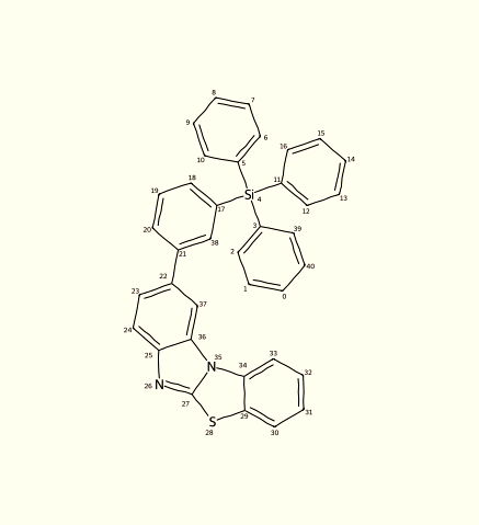 c1ccc([Si](c2ccccc2)(c2ccccc2)c2cccc(-c3ccc4nc5sc6ccccc6n5c4c3)c2)cc1